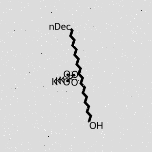 CCCCCCCCCCCCCCCCCCCCCCCCCCCCCCO.O=P([O-])([O-])[O-].[K+].[K+].[K+]